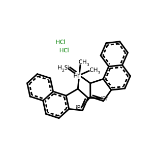 CC(C)C1=Cc2ccc3ccccc3c2[CH]1[Hf]([CH3])([CH3])(=[SiH2])[CH]1C(C(C)C)=Cc2ccc3ccccc3c21.Cl.Cl